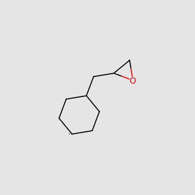 [CH]1CCC(CC2CO2)CC1